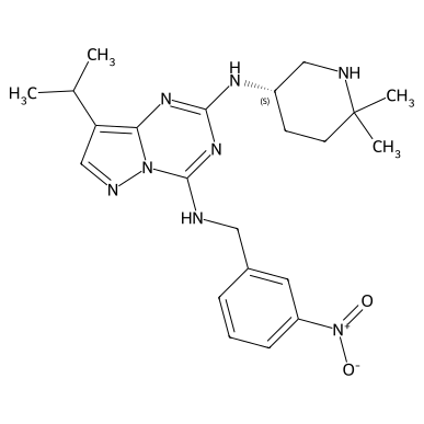 CC(C)c1cnn2c(NCc3cccc([N+](=O)[O-])c3)nc(N[C@H]3CCC(C)(C)NC3)nc12